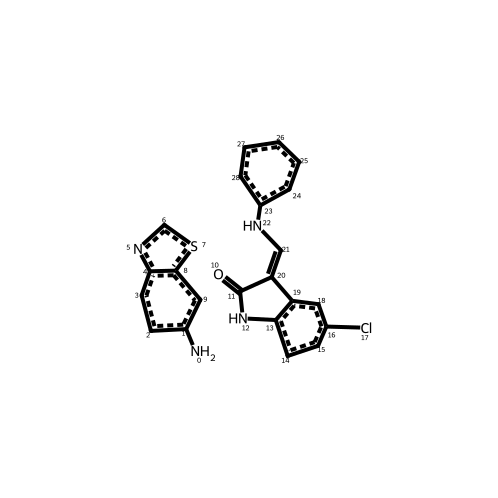 Nc1ccc2ncsc2c1.O=C1Nc2ccc(Cl)cc2C1=CNc1ccccc1